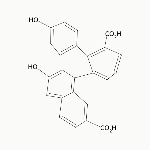 O=C(O)c1ccc2cc(O)cc(-c3cccc(C(=O)O)c3-c3ccc(O)cc3)c2c1